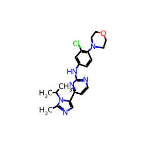 Cc1ncc(-c2ccnc(Nc3ccc(N4CCOCC4)c(Cl)c3)n2)n1C(C)C